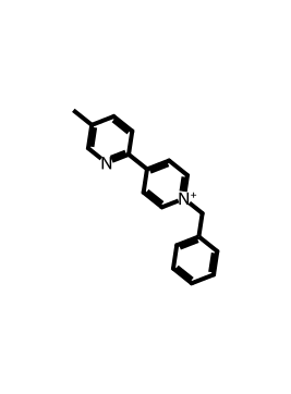 Cc1ccc(-c2cc[n+](Cc3ccccc3)cc2)nc1